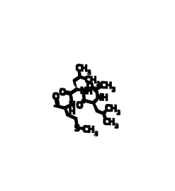 CSCC[C@@H]([C]=O)NC(=O)[C@H](CC(C)C)NC(=O)[C@H](CC(C)C)NC(C)=O